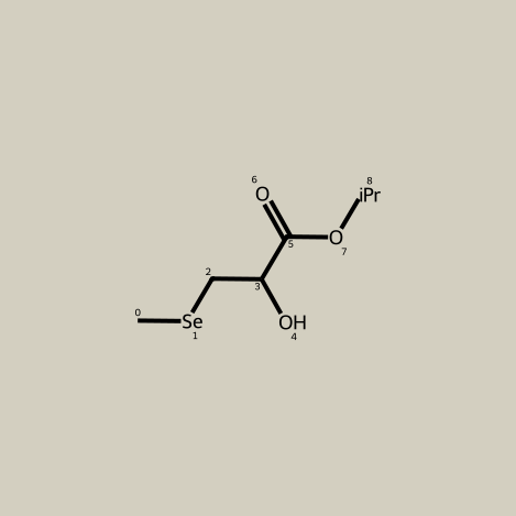 C[Se]CC(O)C(=O)OC(C)C